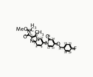 CON(C)C(=O)c1nc2ccc(-n3ccc(OCc4ccc(F)cc4)cc3=O)cn2c1C